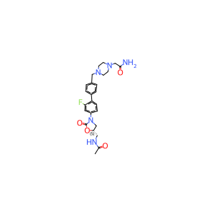 CC(=O)NC[C@H]1CN(c2ccc(-c3ccc(CN4CCN(CC(N)=O)CC4)cc3)c(F)c2)C(=O)O1